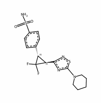 NS(=O)(=O)c1ccc([C@@H]2[C@@H](c3nsc(N4CCCCC4)n3)C2(F)F)cc1